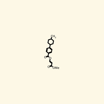 COC(=O)C=COC(=O)c1ccc(C2CCC(C)CC2)cc1